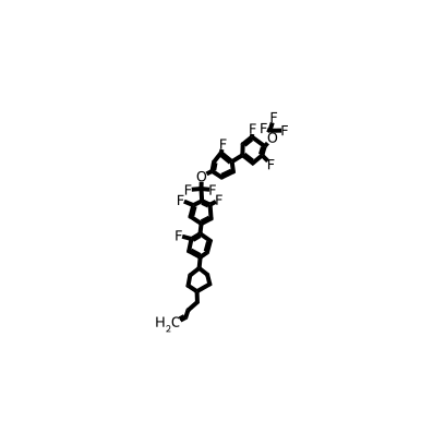 C=CCCC1CCC(c2ccc(-c3cc(F)c(C(F)(F)Oc4ccc(-c5cc(F)c(OC(F)(F)F)c(F)c5)c(F)c4)c(F)c3)c(F)c2)CC1